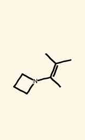 CC(C)=C(C)N1CCC1